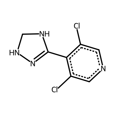 Clc1cncc(Cl)c1C1=NNCN1